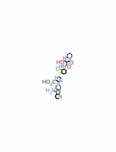 NC1c2cccnc2CC12CCN(c1ncc(Sc3cccc(NC(=O)c4c(O)nc5n(c4=O)CCCC5)c3Cl)nc1C(=O)O)CC2